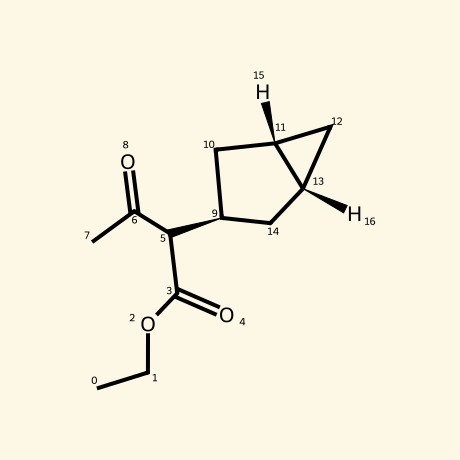 CCOC(=O)C(C(C)=O)[C@H]1C[C@@H]2C[C@@H]2C1